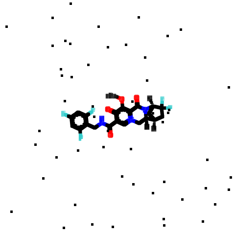 CCCCOc1c2n(cc(C(=O)NCc3c(F)cc(F)cc3F)c1=O)C[C@H]1[C@H]3C[C@@H](N1C2=O)C(F)(F)C3